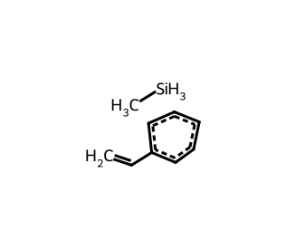 C=Cc1ccccc1.C[SiH3]